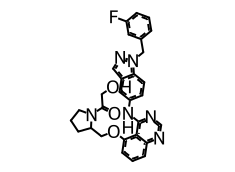 O=C(CO)N1CCCC1COc1cccc2ncnc(Nc3ccc4c(cnn4Cc4cccc(F)c4)c3)c12